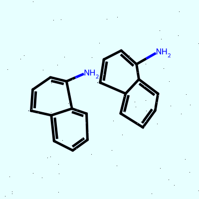 Nc1cc[c]c2ccccc12.Nc1cc[c]c2ccccc12